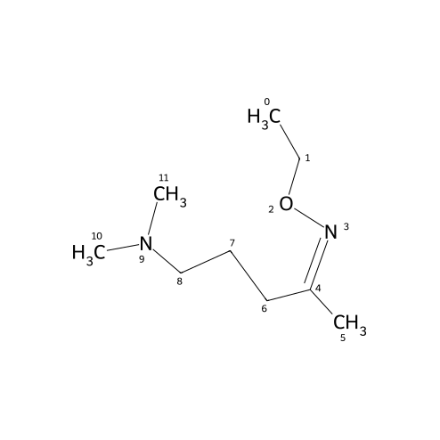 CCO/N=C(/C)CCCN(C)C